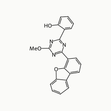 COc1nc(-c2ccccc2O)nc(-c2cccc3c2oc2ccccc23)n1